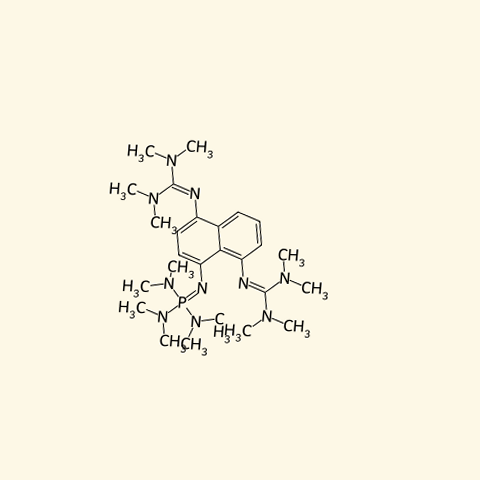 CN(C)C(=Nc1ccc(N=P(N(C)C)(N(C)C)N(C)C)c2c(N=C(N(C)C)N(C)C)cccc12)N(C)C